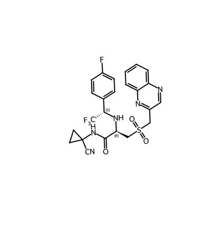 N#CC1(NC(=O)[C@H](CS(=O)(=O)Cc2cnc3ccccc3n2)N[C@@H](c2ccc(F)cc2)C(F)(F)F)CC1